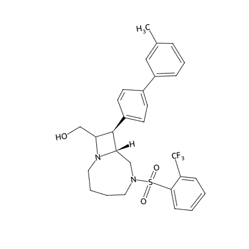 Cc1cccc(-c2ccc([C@@H]3C(CO)N4CCCCN(S(=O)(=O)c5ccccc5C(F)(F)F)C[C@@H]34)cc2)c1